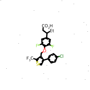 CCC(CC(=O)O)c1cc(F)c(OCc2c(-c3ccc(Cl)cc3)csc2C(F)(F)F)c(F)c1